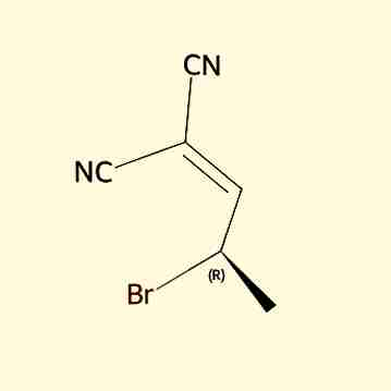 C[C@@H](Br)C=C(C#N)C#N